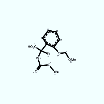 CCC(NC(=O)OC(C)(C)C)(C(=O)O)c1ccccc1OCOC